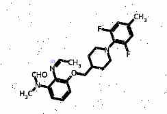 C/C=N\c1c(OCC2CCN(c3c(F)cc(C)cc3F)CC2)cccc1N(C)C=O